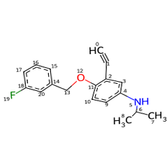 C#Cc1cc(NC(C)C)ccc1OCc1cccc(F)c1